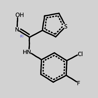 O/N=C(/Nc1ccc(F)c(Cl)c1)c1ccsc1